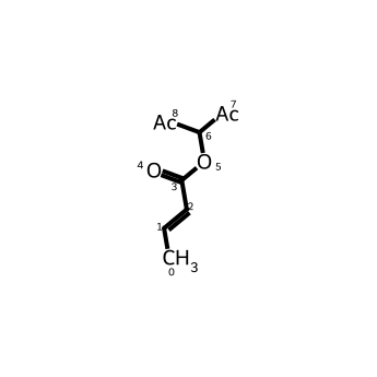 CC=CC(=O)OC(C(C)=O)C(C)=O